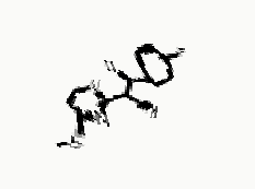 CSc1ccnc(C(C#N)C(=O)c2ccc(F)cc2)n1